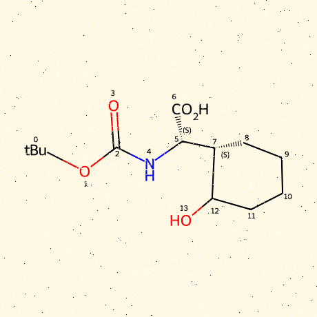 CC(C)(C)OC(=O)N[C@H](C(=O)O)[C@@H]1CCCCC1O